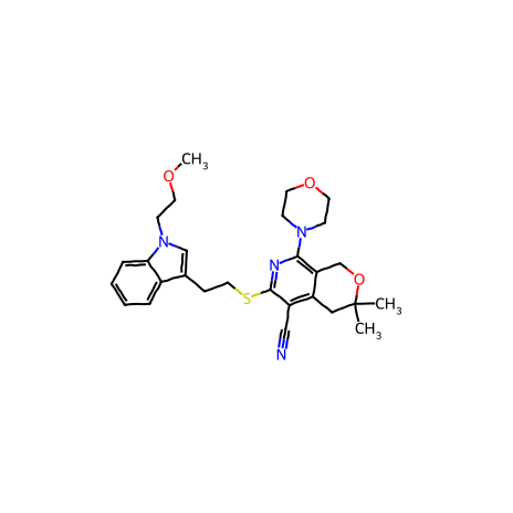 COCCn1cc(CCSc2nc(N3CCOCC3)c3c(c2C#N)CC(C)(C)OC3)c2ccccc21